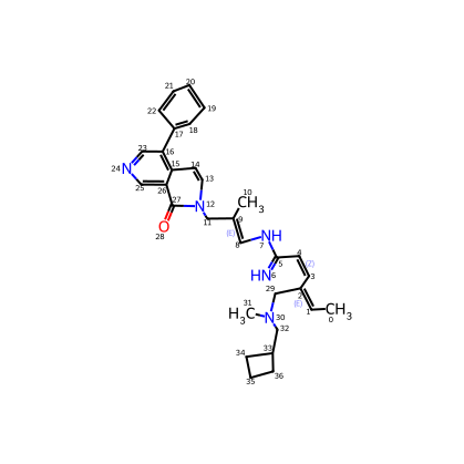 C/C=C(\C=C/C(=N)N/C=C(\C)Cn1ccc2c(-c3ccccc3)cncc2c1=O)CN(C)CC1CCC1